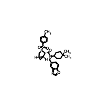 Cc1ccc(S(=O)(=O)N2C[C@H]3C[C@H]3[C@H]2C(=O)N(Cc2ccc3ocnc3c2)C2CCC(C)(C)CC2)cc1